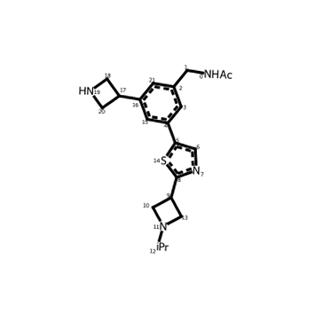 CC(=O)NCc1cc(-c2cnc(C3CN(C(C)C)C3)s2)cc(C2CNC2)c1